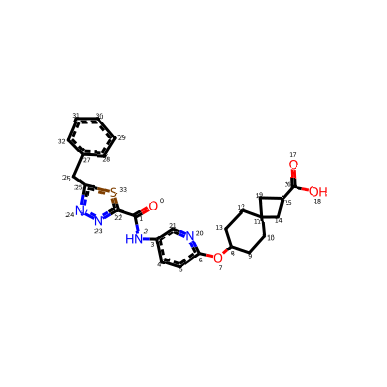 O=C(Nc1ccc(OC2CCC3(CC2)CC(C(=O)O)C3)nc1)c1nnc(Cc2ccccc2)s1